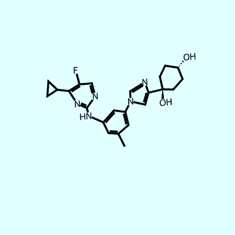 Cc1cc(Nc2ncc(F)c(C3CC3)n2)cc(-n2cnc([C@]3(O)CC[C@H](O)CC3)c2)c1